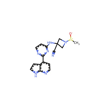 C[S+]([O-])N1CC(C#N)(Nc2ccnc(-c3ccnc4[nH]ccc34)n2)C1